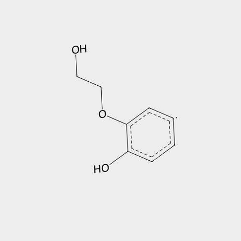 OCCOc1c[c]ccc1O